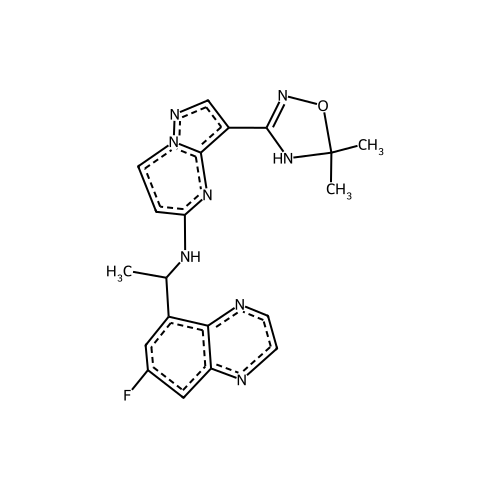 CC(Nc1ccn2ncc(C3=NOC(C)(C)N3)c2n1)c1cc(F)cc2nccnc12